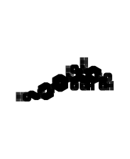 O=C(Nc1ccc(N2CCN(CCO)CC2)cc1)C1=C(O)C2CN(C(=O)O)CCC2NC1=O